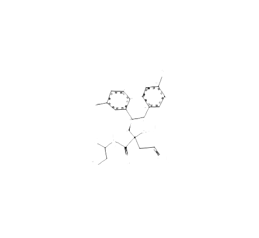 C=CCC(N)(C[C@@H](c1cccc(Cl)c1)[C@@H](O)c1ccc(Cl)cc1)C(=O)NC(CO)C(C)C